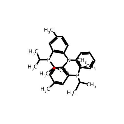 Cc1ccc(N(c2ccccc2)c2ccc(C)cc2P(C(C)C)C(C)C)c(P(C(C)C)C(C)C)c1